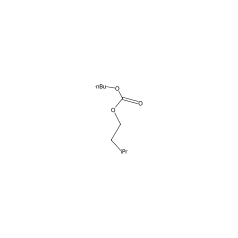 CCC[CH]OC(=O)OCCC(C)C